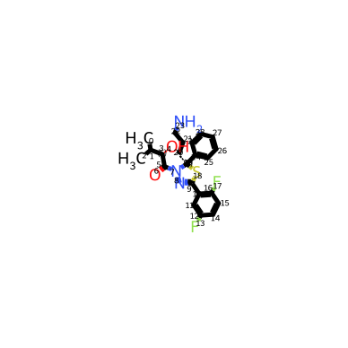 CC(C)[C@H](O)C(=O)N1N=C(c2cc(F)ccc2F)S[C@]1(CCCN)c1ccccc1